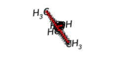 CCCCCCCCCCCCCCCCCC(=O)OC(COC(O)CCCCCCCCCCCCCCCCC)COP(=O)(O)O